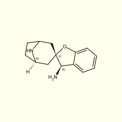 N[C@@H]1c2ccccc2O[C@]12CC1CC[C@H](C2)N1